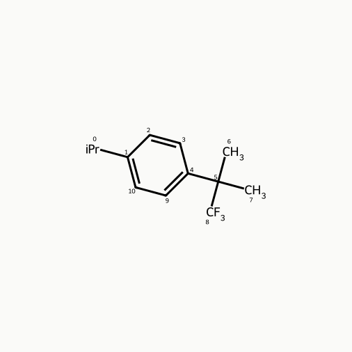 CC(C)c1ccc(C(C)(C)C(F)(F)F)cc1